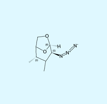 CC1[C@H](C)C2CO[C@H](O2)[C@H]1N=[N+]=[N-]